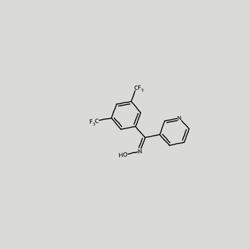 ON=C(c1cccnc1)c1cc(C(F)(F)F)cc(C(F)(F)F)c1